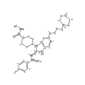 CC(C)NC(=O)C1CCC(n2/c(=N/C(=O)c3ccc(F)cc3)[nH]c3cnc(OCCCN4CCOCC4)cc32)CC1